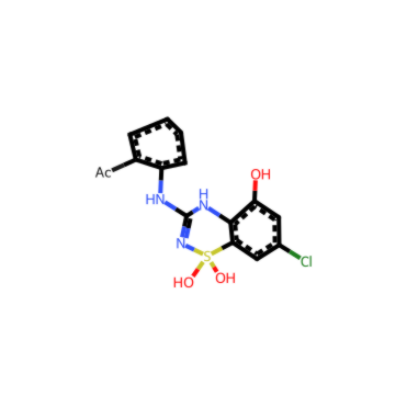 CC(=O)c1ccccc1NC1=NS(O)(O)c2cc(Cl)cc(O)c2N1